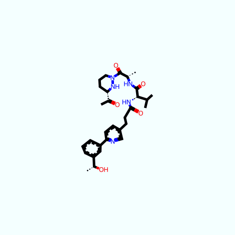 CC(=O)[C@@H]1CCCN(C(=O)[C@H](C)NC(=O)[C@@H](NC(=O)CCc2ccc(-c3cccc([C@@H](C)O)c3)nc2)C(C)C)N1